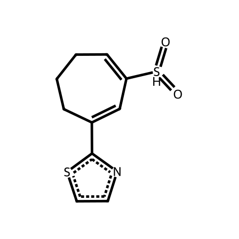 O=[SH](=O)C1=CCCCC(c2nccs2)=C1